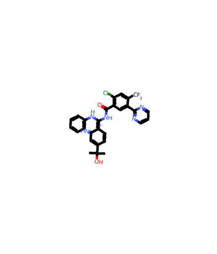 CC(C)(O)C1=CC(=N)/C(=C(/NC(=O)c2cc(-c3ncccn3)c(C(F)(F)F)cc2Cl)Nc2ccccc2)C=C1